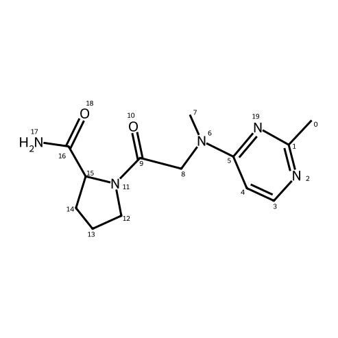 Cc1nccc(N(C)CC(=O)N2CCCC2C(N)=O)n1